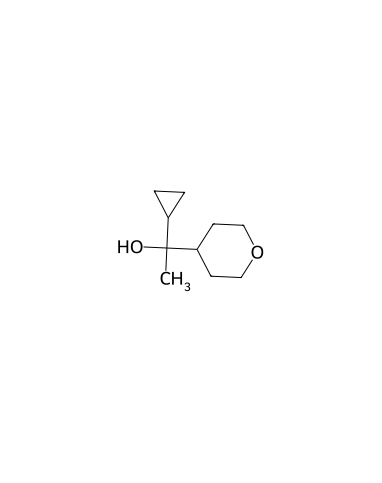 CC(O)(C1CCOCC1)C1CC1